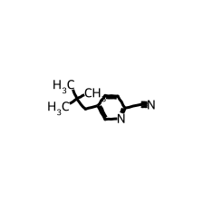 CC(C)(C)Cc1ccc(C#N)nc1